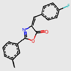 Cc1cccc(C2=NC(=Cc3ccc(F)cc3)C(=O)O2)c1